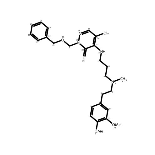 COc1ccc(CCN(C)CCCNc2c(Cl)cnn(COCc3ccccc3)c2=O)cc1OC